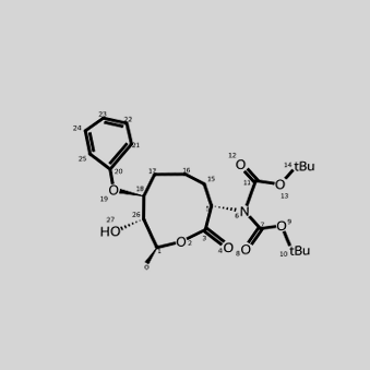 C[C@@H]1OC(=O)[C@@H](N(C(=O)OC(C)(C)C)C(=O)OC(C)(C)C)CCC[C@H](Oc2ccccc2)[C@H]1O